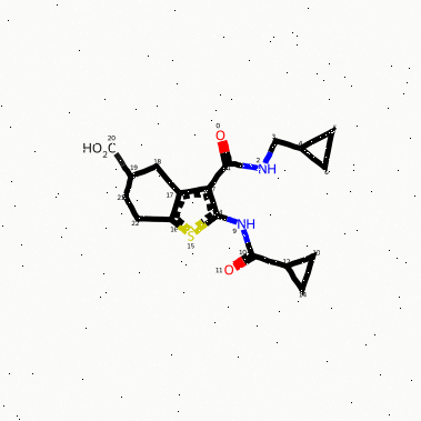 O=C(NCC1CC1)c1c(NC(=O)C2CC2)sc2c1CC(C(=O)O)CC2